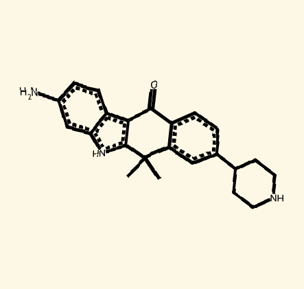 CC1(C)c2cc(C3CCNCC3)ccc2C(=O)c2c1[nH]c1cc(N)ccc21